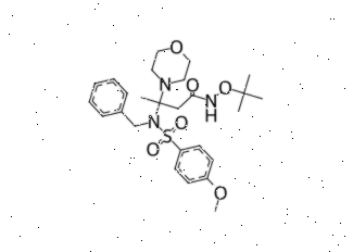 COc1ccc(S(=O)(=O)N(Cc2ccccc2)C(C)(CC(=O)NOC(C)(C)C)N2CCOCC2)cc1